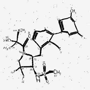 Cc1cc(F)cc(-c2cccc(C[C@H]3[C@@H](NS(C)(=O)=O)C(F)(F)CN3C(=O)C(C)(C)O)c2F)c1